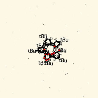 CC(C)(C)C1=CC(C(C)(C)C)C2(CCN3CCC4(OP(O2)OC2(CC3)C(c3cc(C(C)(C)C)cc(C(C)(C)C)c3)=CC(C(C)(C)C)=CC2C(C)(C)C)C(c2cc(C(C)(C)C)cc(C(C)(C)C)c2)=CC(C(C)(C)C)=CC4C(C)(C)C)C(c2cc(C(C)(C)C)cc(C(C)(C)C)c2)=C1